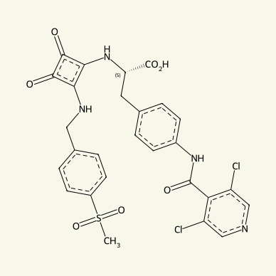 CS(=O)(=O)c1ccc(CNc2c(N[C@@H](Cc3ccc(NC(=O)c4c(Cl)cncc4Cl)cc3)C(=O)O)c(=O)c2=O)cc1